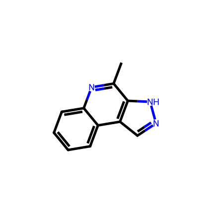 Cc1nc2ccccc2c2cn[nH]c12